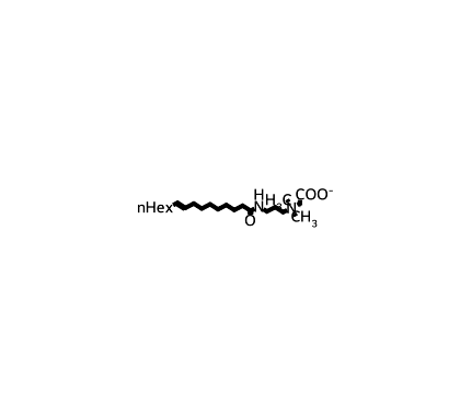 CCCCCC/C=C/CCCCCCCC(=O)NCCC[N+](C)(C)CC(=O)[O-]